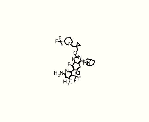 Cc1cc(N)nc(-c2c(Cl)cc3c(N4CC5CCC(C4)N5)nc(OCC4(CN5CCC[C@@H](C(F)(F)F)C5)CC4)nc3c2F)c1C(F)(F)F